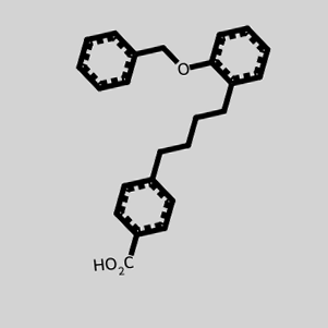 O=C(O)c1ccc(CCCCc2ccccc2OCc2ccccc2)cc1